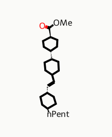 CCCCC[C@H]1CC[C@H](C=CC2CCC([C@H]3CC[C@H](C(=O)OC)CC3)CC2)CC1